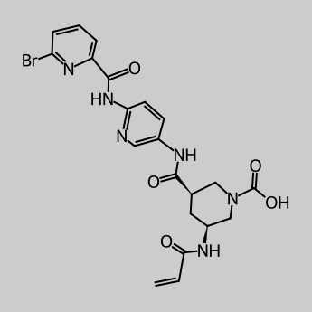 C=CC(=O)N[C@H]1C[C@@H](C(=O)Nc2ccc(NC(=O)c3cccc(Br)n3)nc2)CN(C(=O)O)C1